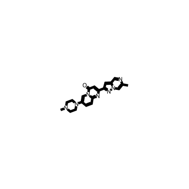 Cc1cn2nc(-c3cc(=O)n4cc(N5CCN(C)CC5)ccc4n3)cc2cn1